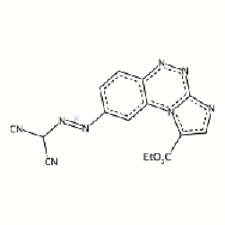 [C-]#[N+]C(C#N)/N=N/c1ccc2nnc3ncc(C(=O)OCC)n3c2c1